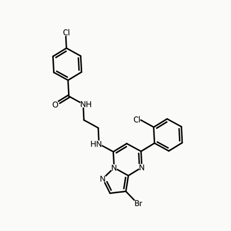 O=C(NCCNc1cc(-c2ccccc2Cl)nc2c(Br)cnn12)c1ccc(Cl)cc1